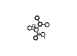 CC1C=C(N(c2ccccc2)C2C=C3C(=C(c4cc(C5=CCCC=C5)cc(-c5ccccc5)c4)C2)OC2C=CC=CC32)C=CC1